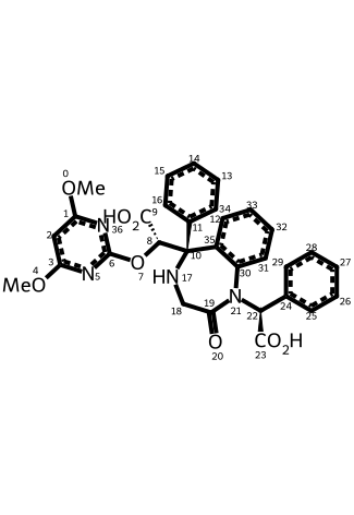 COc1cc(OC)nc(O[C@H](C(=O)O)[C@@]2(c3ccccc3)NCC(=O)N([C@H](C(=O)O)c3ccccc3)c3ccccc32)n1